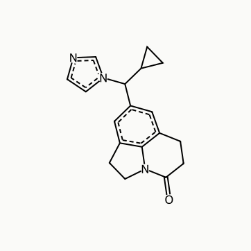 O=C1CCc2cc(C(C3CC3)n3ccnc3)cc3c2N1CC3